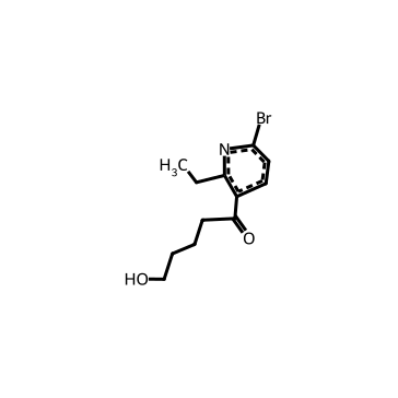 CCc1nc(Br)ccc1C(=O)CCCCO